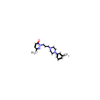 Cc1ccc(=O)n(CCCN2CCN(c3cccc(C(F)(F)F)c3)CC2)n1